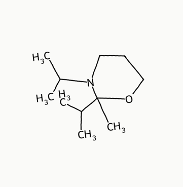 CC(C)N1CCCOC1(C)C(C)C